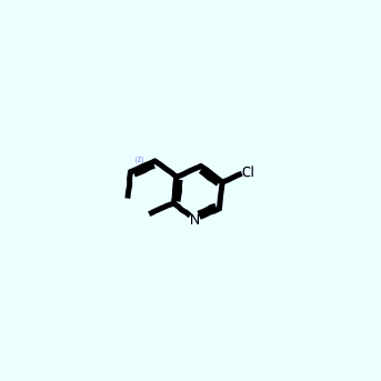 C/C=C\c1cc(Cl)cnc1C